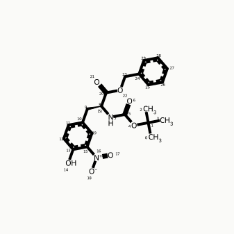 CC(C)(C)OC(=O)N[C@@H](Cc1ccc(O)c([N+](=O)[O-])c1)C(=O)OCc1ccccc1